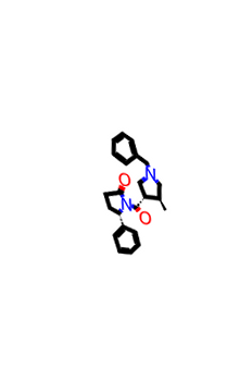 C[C@@H]1CN(Cc2ccccc2)C[C@H]1C(=O)N1C(=O)CC[C@H]1c1ccccc1